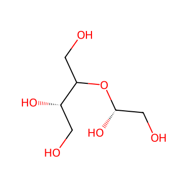 OCC(O[C@@H](O)CO)[C@@H](O)CO